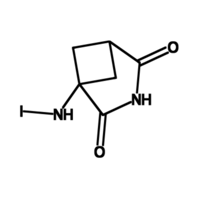 O=C1NC(=O)C2(NI)CC1C2